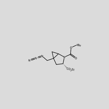 CCOC(=O)[C@@H]1CC2(CN=[N+]=[N-])CC2N1C(=O)OC(C)(C)C